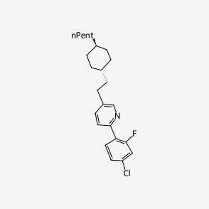 CCCCC[C@H]1CC[C@H](CCc2ccc(-c3ccc(Cl)cc3F)nc2)CC1